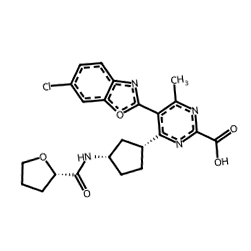 Cc1nc(C(=O)O)nc([C@@H]2CC[C@H](NC(=O)[C@@H]3CCCO3)C2)c1-c1nc2ccc(Cl)cc2o1